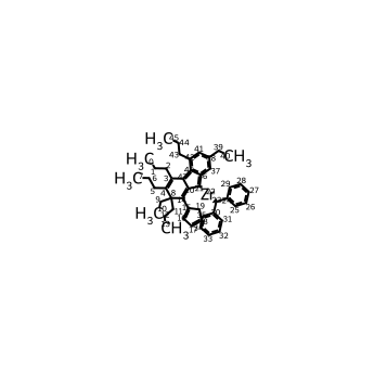 CCCC1=C(CCC)C(CC)(CCC)C(C2=CC=CC2)=C2[C]([Zr]=[C](c3ccccc3)c3ccccc3)=c3cc(CC)cc(CCC)c3=C12